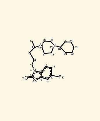 CC(CCCn1c(=O)sc2cc(F)ccc21)N1CCN(C2CCCCC2)CC1